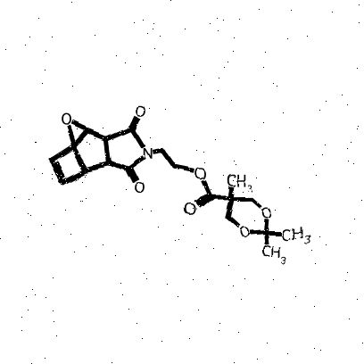 CC1(C)OCC(C)(C(=O)OCCN2C(=O)C3C(C2=O)C2OC24C=CC34)CO1